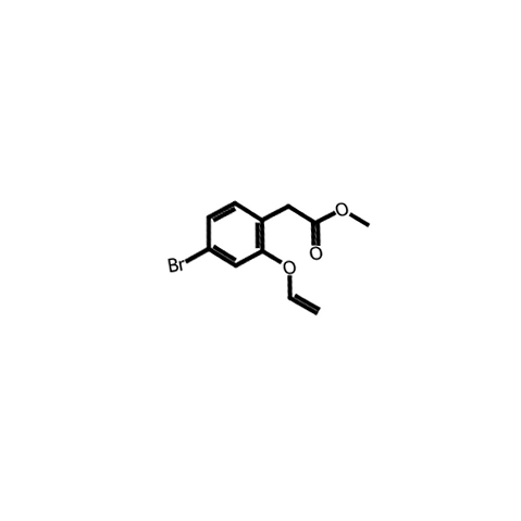 C=COc1cc(Br)ccc1CC(=O)OC